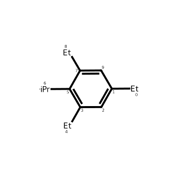 CCc1cc(CC)c([C](C)C)c(CC)c1